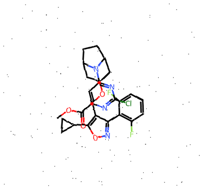 COC(=O)c1cc(N2C3CCC2CC(OCc2c(-c4c(F)cccc4F)noc2C2CC2)C3)nc(Cl)n1